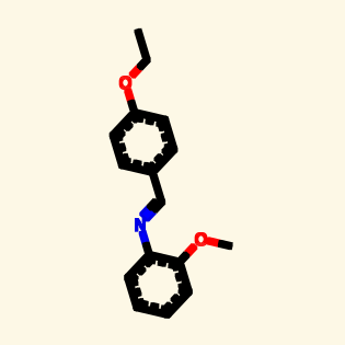 CCOc1ccc(/C=N/c2ccccc2OC)cc1